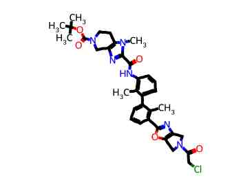 Cc1c(NC(=O)c2nc3c(n2C)CCN(C(=O)OC(C)(C)C)C3)cccc1-c1cccc(-c2nc3c(o2)CN(C(=O)CCl)C3)c1C